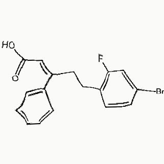 O=C(O)/C=C(/CCc1ccc(Br)cc1F)c1ccccc1